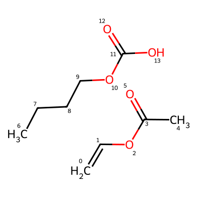 C=COC(C)=O.CCCCOC(=O)O